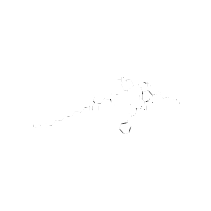 CCCCCCCCCCCCCCCCCCNC(=O)CCC(=O)OC[C@@H]1CNC[C@H](n2cnc3c(OCCC#N)nc(NC(=O)COc4ccccc4)nc32)O1